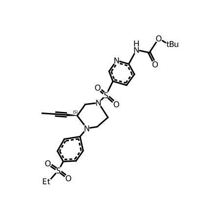 CC#C[C@H]1CN(S(=O)(=O)c2ccc(NC(=O)OC(C)(C)C)nc2)CCN1c1ccc(S(=O)(=O)CC)cc1